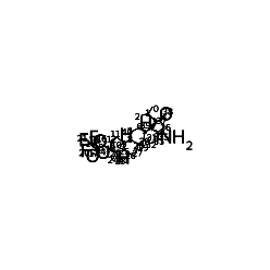 CC(C)C1=C2[C@H]3CC[C@@H]4[C@@]5(C)CC=C(OS(=O)(=O)C(F)(F)F)C(C)(C)[C@@H]5CC[C@@]4(C)[C@]3(C)CC[C@@]2(N)CC1=O